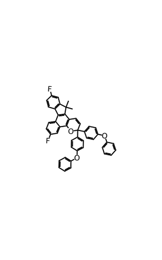 CC1(C)c2cc(F)ccc2-c2c1c1c(c3cc(F)ccc23)OC(c2ccc(Oc3ccccc3)cc2)(c2ccc(Oc3ccccc3)cc2)C=C1